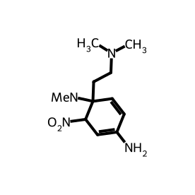 CNC1(CCN(C)C)C=CC(N)=CC1[N+](=O)[O-]